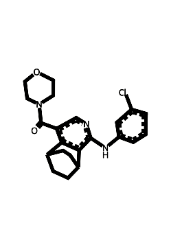 O=C(c1cnc(Nc2cccc(Cl)c2)c2c1C1CCC2CC1)N1CCOCC1